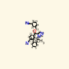 Cc1ccccc1-c1cc([C@@H](OCc2cccc(C#N)c2)c2cncn2C)ccc1C#N